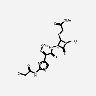 CON=C(C(=O)N[C@@H]1C(=O)N(S(=O)(=O)O)C1SCC(=O)OC)c1csc(NC(=O)CCl)n1